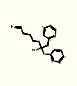 N=CCCCCC(O)(Cc1ccccc1)Cc1ccccc1